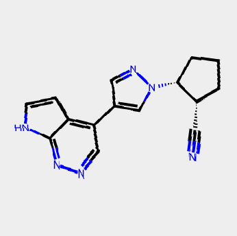 N#C[C@H]1CCC[C@H]1n1cc(-c2cnnc3[nH]ccc23)cn1